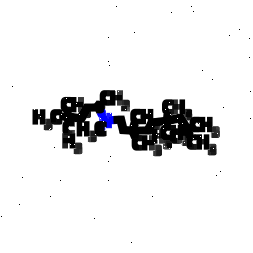 C=C(CCC(C)(C)C)N(C)CCC(C)(C)CCC(C)(C)CC(C)(C)C